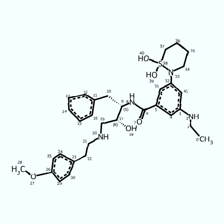 CCNc1cc(C(=O)N[C@@H](Cc2ccccc2)[C@H](O)CNCCc2ccc(OC)cc2)cc(N2CCCCS2(O)O)c1